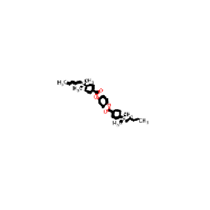 CCCCC[Si](C)(C)C1CCC(C(=O)OC2CCC(OC(=O)C3CCC([Si](C)(C)CCCCC)CC3)CC2)CC1